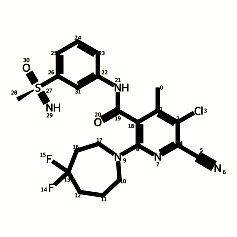 Cc1c(Cl)c(C#N)nc(N2CCCC(F)(F)CC2)c1C(=O)Nc1cccc([S@](C)(=N)=O)c1